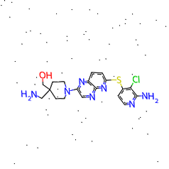 NCC1(CO)CCN(c2cnc3nc(Sc4ccnc(N)c4Cl)ccc3n2)CC1